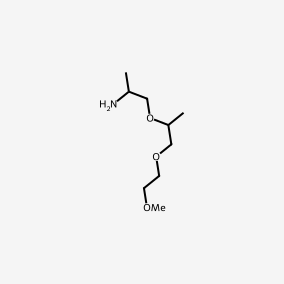 COCCOCC(C)OCC(C)N